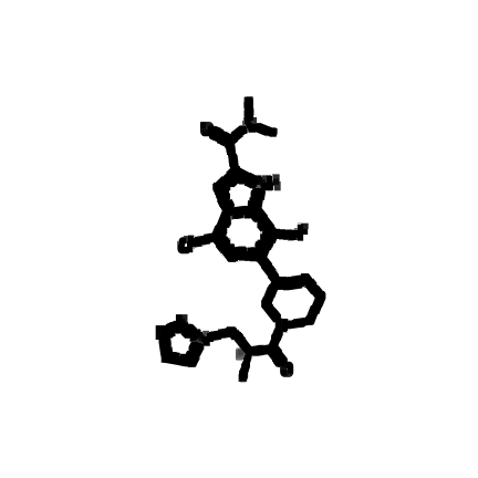 C[C@@H](Cn1ccnn1)C(=O)N1CCC=C(c2cc(Cl)c3cc(C(=O)N(C)C)[nH]c3c2F)C1